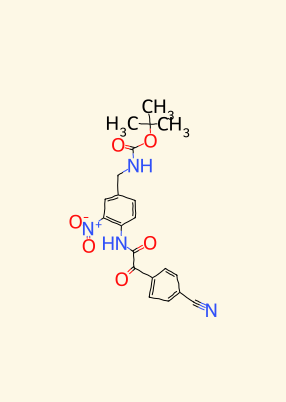 CC(C)(C)OC(=O)NCc1ccc(NC(=O)C(=O)c2ccc(C#N)cc2)c([N+](=O)[O-])c1